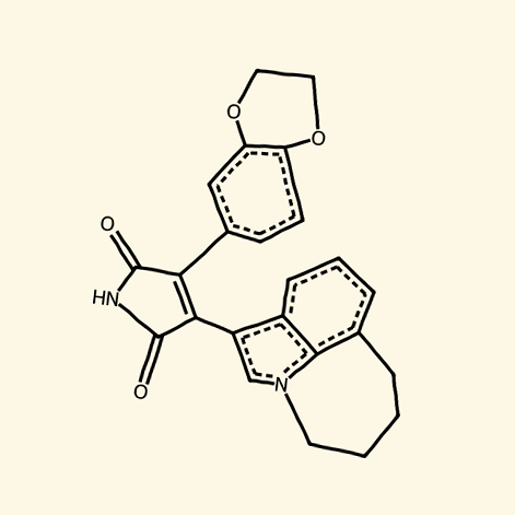 O=C1NC(=O)C(c2cn3c4c(cccc24)CCCC3)=C1c1ccc2c(c1)OCCO2